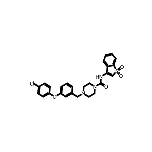 O=C(NC1=CS(=O)(=O)c2ccccc21)N1CCN(Cc2cccc(Oc3ccc(Cl)cc3)c2)CC1